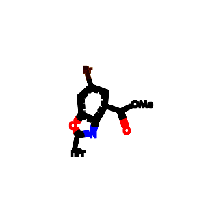 CCCc1nc2c(C(=O)OC)cc(Br)cc2o1